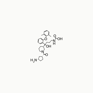 Cc1cccc(C)c1Oc1ccccc1C(O)(CCCNC(=O)O)[C@@H]1CCCN(C(=O)[C@@H]2CC[C@H](N)C2)C1